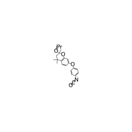 CC(C)OC1(C)CC(C)(C)c2ccc(Oc3ccc(N=C=O)cc3)cc2O1